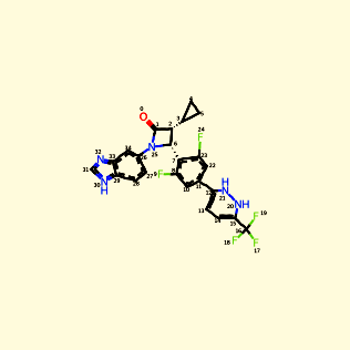 O=C1[C@H](C2CC2)[C@H](c2c(F)cc(C3=CC=C(C(F)(F)F)NN3)cc2F)N1c1ccc2[nH]cnc2c1